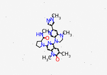 CNC(=O)C1CCCN1c1cc2c(cc(C)c(=O)n2C)c(N2CCN(C)c3cc(-c4cnn(C)c4)ncc32)n1